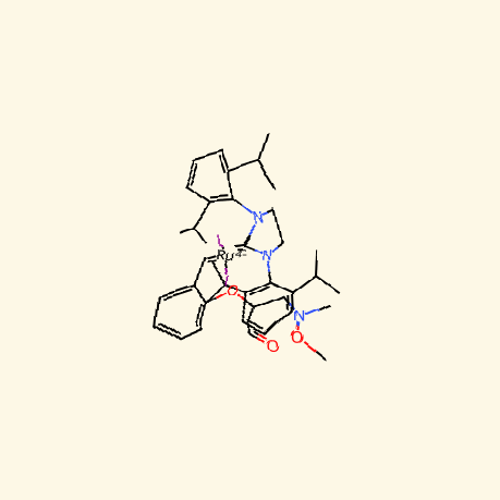 CON(C)CC(C=O)Oc1ccccc1[CH]=[Ru-4]([I])([I])=[C]1N(c2c(C(C)C)cccc2C(C)C)CCN1c1c(C(C)C)cccc1C(C)C